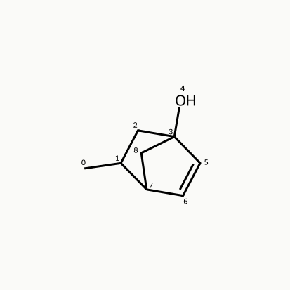 CC1CC2(O)C=CC1C2